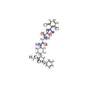 CN(C)C(CCc1ccccc1)C1CCC(NC(=O)CNC(=O)c2nc(-c3c(Cl)cccc3Cl)no2)CC1